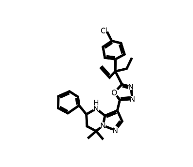 C=CC(CC)(c1ccc(Cl)cc1)c1nnc(-c2cnn3c2NC(c2ccccc2)CC3(C)C)o1